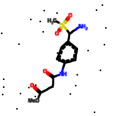 COC(=O)CC(=O)Nc1ccc(C(N)S(C)(=O)=O)cc1